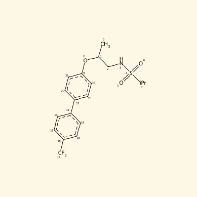 CC(CNS(=O)(=O)C(C)C)Oc1ccc(-c2ccc(C(F)(F)F)cc2)cc1